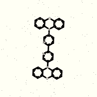 c1ccc2c(c1)Oc1ccccc1N2c1ccc(-c2ccc(N3c4ccccc4Oc4ccccc43)cn2)nc1